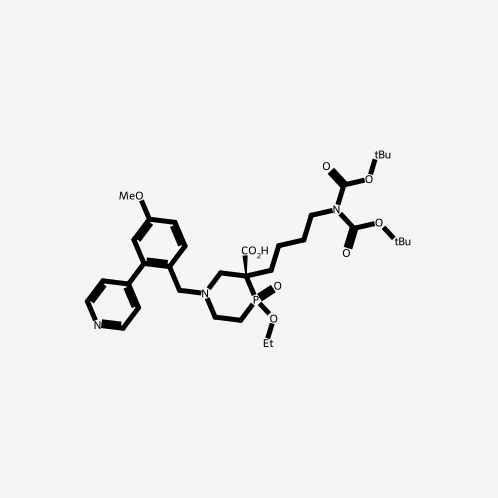 CCOP1(=O)CCN(Cc2ccc(OC)cc2-c2ccncc2)C[C@@]1(CCCCN(C(=O)OC(C)(C)C)C(=O)OC(C)(C)C)C(=O)O